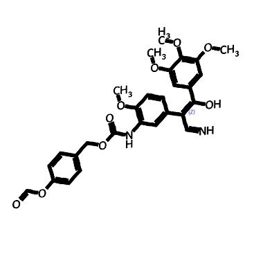 COc1ccc(/C(C=N)=C(/O)c2cc(OC)c(OC)c(OC)c2)cc1NC(=O)OCc1ccc(OC=O)cc1